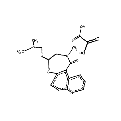 CN(C)CCC1CN(C)C(=O)c2c(ccc3ncccc23)O1.O=C(O)C(=O)O